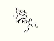 CC(CCCl)C(=O)Nc1scc(C(C)(C)C)c1C#N